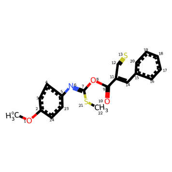 COc1ccc(N=C(OC(=O)C(C=S)=Cc2ccccc2)SC)cc1